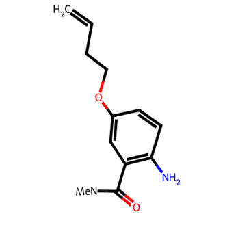 C=CCCOc1ccc(N)c(C(=O)NC)c1